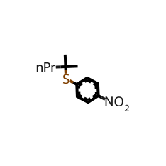 CCCC(C)(C)Sc1ccc([N+](=O)[O-])cc1